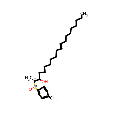 CCCCCCCCC=CCCCCCCCC(O)[C@@H](C)[S@@+]([O-])c1ccc(C)cc1